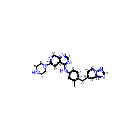 Cc1cc(Nc2ncnc3cnc(N4CCNCC4)cc23)ccc1Cc1ccn2ncnc2c1